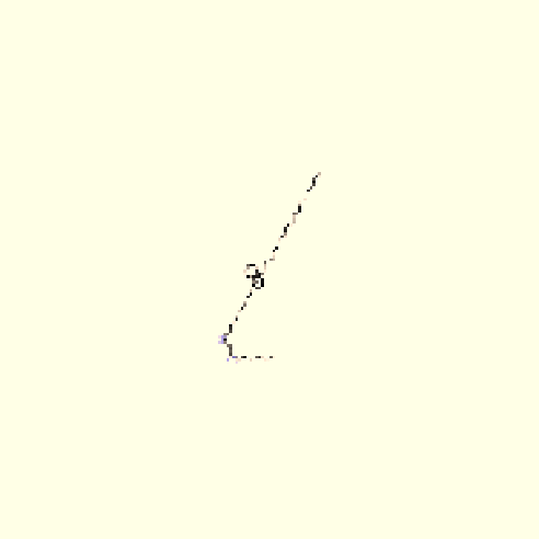 CCCCC/C=C\C/C=C\CCCCCCCCOC(=O)CCCCCCCCCCCCCCCCC